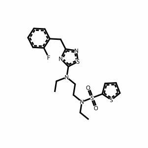 CCN(CCN(CC)S(=O)(=O)c1cccs1)c1nc(Cc2ccccc2F)ns1